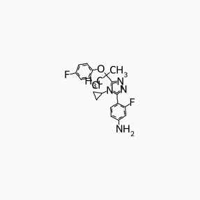 CC(C)(Oc1ccc(F)cc1Cl)c1nnc(-c2ccc(N)cc2F)n1C1CC1